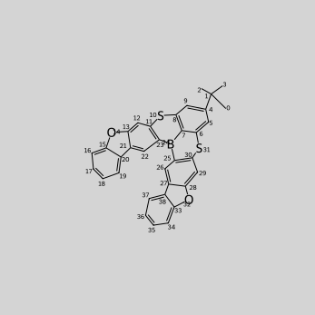 CC(C)(C)c1cc2c3c(c1)Sc1cc4oc5ccccc5c4cc1B3c1cc3c(cc1S2)oc1ccccc13